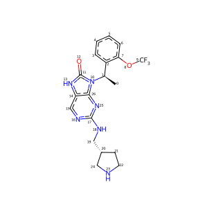 C[C@H](c1ccccc1OC(F)(F)F)n1c(=O)[nH]c2cnc(NC[C@@H]3CCNC3)nc21